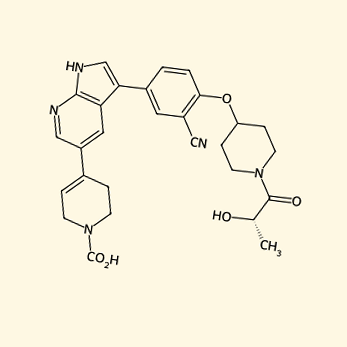 C[C@H](O)C(=O)N1CCC(Oc2ccc(-c3c[nH]c4ncc(C5=CCN(C(=O)O)CC5)cc34)cc2C#N)CC1